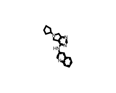 c1ccc2ncc(Nc3ncnc4c3CN(C3CCCC3)C4)cc2c1